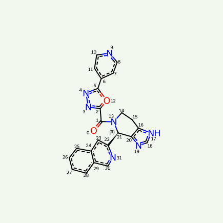 O=C(c1nnc(-c2ccncc2)o1)N1CCc2[nH]cnc2[C@H]1c1cc2ccccc2cn1